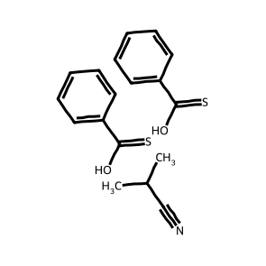 CC(C)C#N.OC(=S)c1ccccc1.OC(=S)c1ccccc1